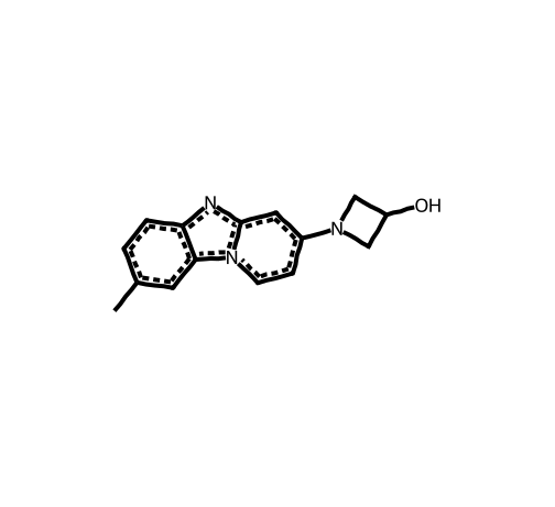 Cc1ccc2nc3cc(N4CC(O)C4)ccn3c2c1